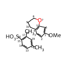 COc1ccc2c(c1)OCCC2.Cc1ccc(S(=O)(=O)O)c(C)c1